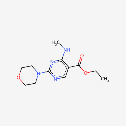 CCOC(=O)c1cnc(N2CCOCC2)nc1NC